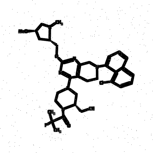 CO[C@@H]1C[C@@H](COc2nc3c(c(N4CCN(C(=O)C(C)(C)F)[C@@H](CC#N)C4)n2)CCN(c2cccc4cccc(Cl)c24)C3)N(C)C1